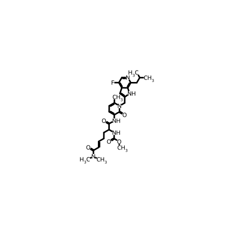 COC(=O)NC(CC/C=C/C(=O)N(C)C)C(=O)Nc1ccc(C)n(Cc2cc3c(F)cnc(CC(C)C)c3[nH]2)c1=O